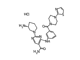 Cl.NC(=O)c1cnc(N2CCC[C@H](N)C2)nc1Nc1cccc(C(=O)N2CCN(c3nccs3)CC2)c1